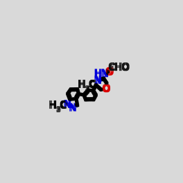 Cn1ncc2c(-c3cccc(C4(C)COCC(NOC=O)=N4)c3)cccc21